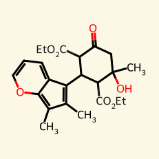 CCOC(=O)C1C(=O)CC(C)(O)C(C(=O)OCC)C1c1c2cccoc-2c(C)c1C